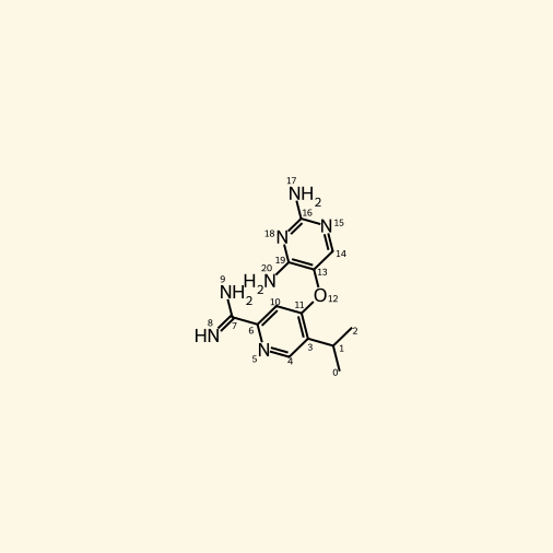 CC(C)c1cnc(C(=N)N)cc1Oc1cnc(N)nc1N